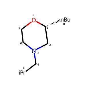 CCCC[C@@H]1CN(CC(C)C)CCO1